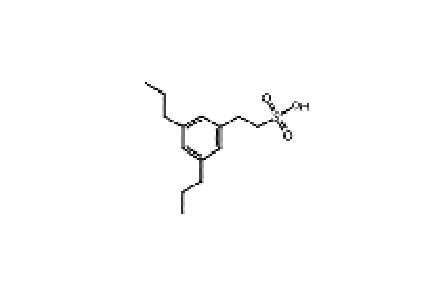 CCCc1cc(CCC)cc(CCS(=O)(=O)O)c1